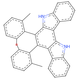 Cc1cccc(C)c1-c1c(-c2c(C)cccc2C)c2c3ccccc3[nH]c2c2c1[nH]c1ccccc12